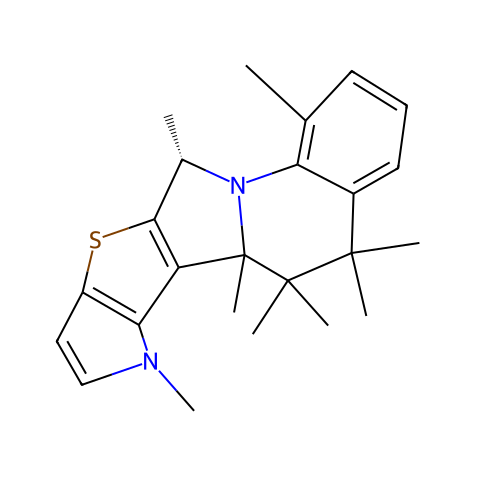 Cc1cccc2c1N1[C@@H](C)c3sc4ccn(C)c4c3C1(C)C(C)(C)C2(C)C